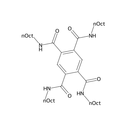 CCCCCCCCNC(=O)c1cc(C(=O)NCCCCCCCC)c(C(=O)NCCCCCCCC)cc1C(=O)NCCCCCCCC